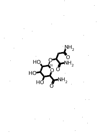 NC(=O)CC(O[C@H]1OC(C(N)=O)C(O)C(O)C1O)C(N)=O